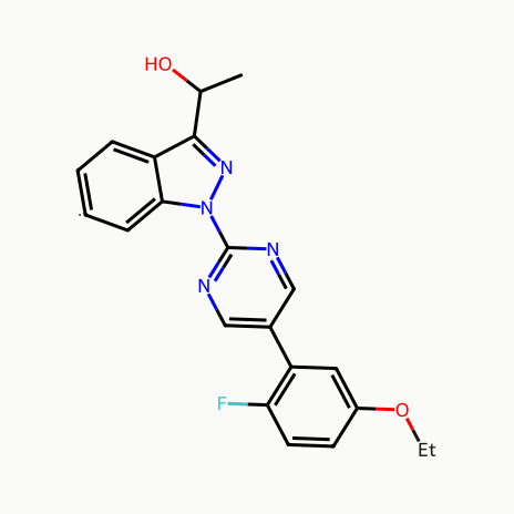 CCOc1ccc(F)c(-c2cnc(-n3nc(C(C)O)c4cc[c]cc43)nc2)c1